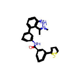 CC1c2c(cccc2-c2cccc(NC(=O)c3cccc(-c4cccs4)c3)c2)NN1C